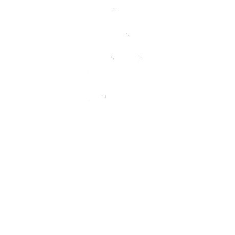 C/N=C/N=C(/NCCOC)NC[C@H](NC(=O)c1c(Cl)cc(CCC(O)c2cccc(O)c2)cc1Cl)C(=O)O